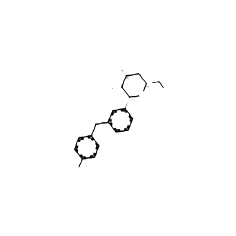 O=C(O)c1ccc(Cc2cccc([C@@H]3S[C@H](CO)[C@@H](O)[C@H](O)[C@H]3O)c2)cc1